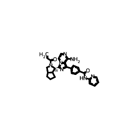 C=CC(=O)N1CC2CCCC2[C@H]1c1nc(-c2ccc(C(=O)Nc3ccccn3)cc2)c2c(N)nccn12